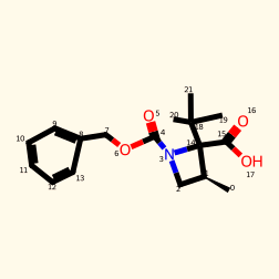 C[C@H]1CN(C(=O)OCc2ccccc2)C1(C(=O)O)C(C)(C)C